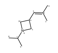 CC(C)=CC1CN(C(C)C)C1